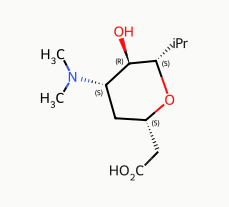 CC(C)[C@@H]1O[C@H](CC(=O)O)C[C@H](N(C)C)[C@H]1O